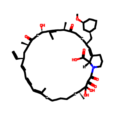 C=C[C@@H]1/C=C/C=C/C=C(\C)CCCCC[C@@H](C)C(O)(O)C(=O)C(=O)N2CCC/C(=C/[C@H](C[C@@H]3CCC[C@H](OC)C3)CCC(=O)[C@H](C)/C=C(\C)[C@@H](O)CC(=O)[C@H](C)C1)[C@H]2C(=O)O